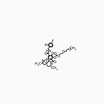 COCCOCCOC(=O)Oc1c2n(cc(C(=O)NCc3ccc(F)cc3F)c1=O)[C@@H]1CN(C2=O)[C@@H](C)CC[C@]12CC(C)=NO2